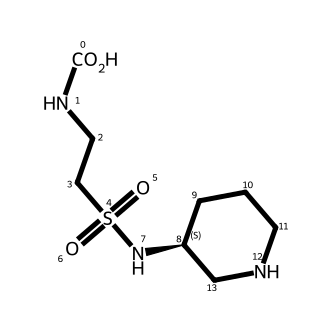 O=C(O)NCCS(=O)(=O)N[C@H]1CCCNC1